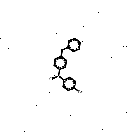 ClC(c1ccc(Br)cc1)c1ccc(Cc2ccccc2)cc1